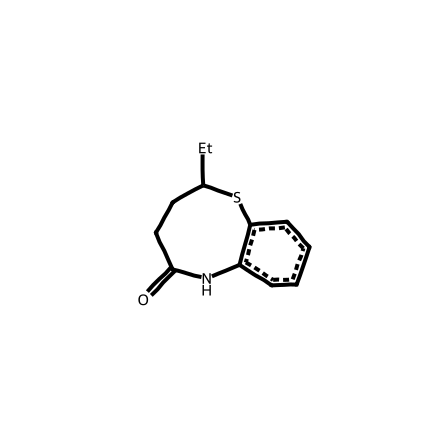 CCC1CCC(=O)Nc2ccccc2S1